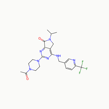 CC(=O)N1CCN(c2nc(NCc3ccc(C(F)(F)F)nc3)c3c(n2)C(=O)N(C(C)C)C3)CC1